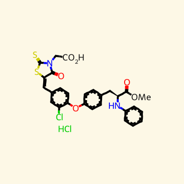 COC(=O)[C@H](Cc1ccc(Oc2ccc(C=C3SC(=S)N(CC(=O)O)C3=O)cc2Cl)cc1)Nc1ccccc1.Cl